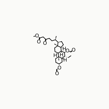 CC[C@H]1[C@H](OC=O)[C@@H]2[C@H](CC[C@]3(C)[C@@H]([C@H](C)CCC(=O)CC(=O)OC)CC[C@@H]23)[C@@]2(C)CC[C@@H](OC=O)C[C@@H]12